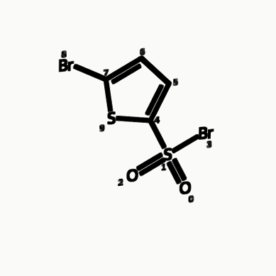 O=S(=O)(Br)c1ccc(Br)s1